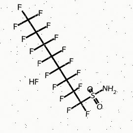 F.NS(=O)(=O)C(F)(F)C(F)(F)C(F)(F)C(F)(F)C(F)(F)C(F)(F)C(F)(F)C(F)(F)F